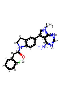 Cn1cc(-c2ccc3c(c2)CCN3C(=O)Cc2ccccc2F)c2c(N)ncnc21